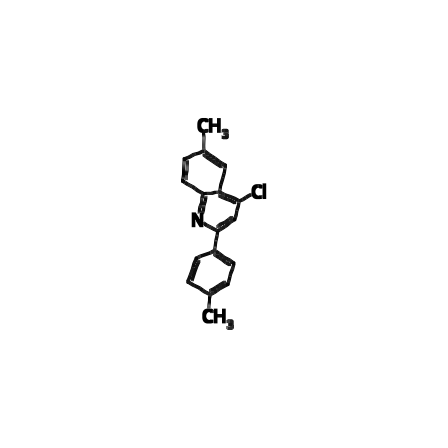 Cc1ccc(-c2cc(Cl)c3cc(C)ccc3n2)cc1